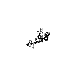 Cc1c(-c2cccc(S(=O)(=O)N(C)C)c2)c2nc(C(=O)O)ccc2n1C/C(F)=C/CNC(=O)OC(C)(C)C